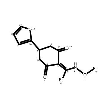 CCONC(CC)=C1C(=O)CC(c2ccco2)CC1=O